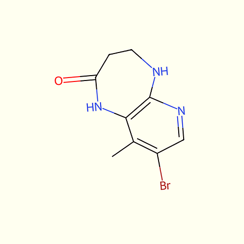 Cc1c(Br)cnc2c1NC(=O)CCN2